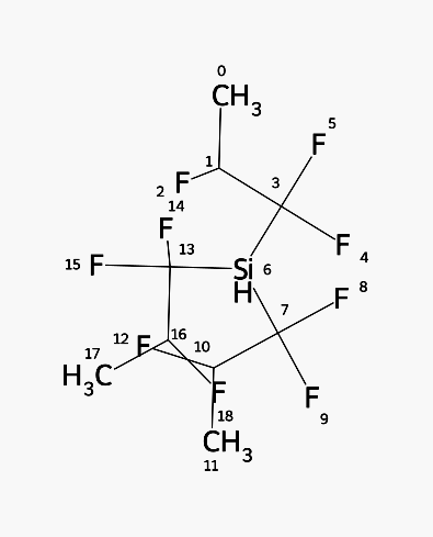 CC(F)C(F)(F)[SiH](C(F)(F)C(C)F)C(F)(F)C(C)F